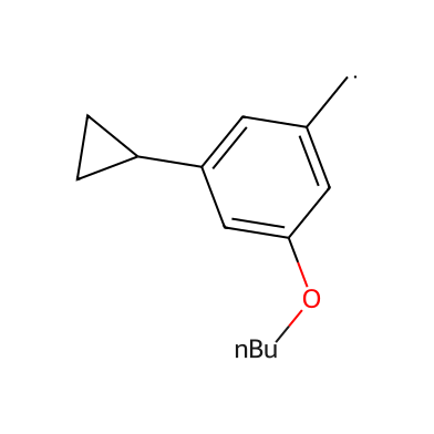 [CH2]c1cc(OCCCC)cc(C2CC2)c1